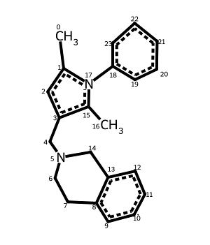 Cc1cc(CN2CCc3c[c]ccc3C2)c(C)n1-c1ccccc1